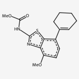 COC(=O)Nc1nc2c(OC)ccc(C3=CCCCC3)c2s1